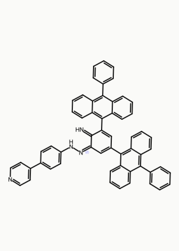 N=C1C(c2c3ccccc3c(-c3ccccc3)c3ccccc23)=CC(c2c3ccccc3c(-c3ccccc3)c3ccccc23)=C/C1=N/Nc1ccc(-c2ccncc2)cc1